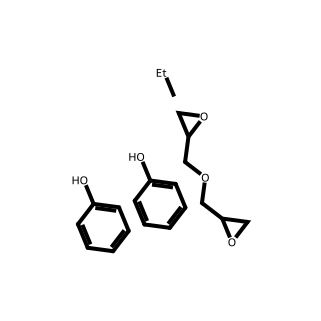 C(OCC1CO1)C1CO1.CCC.Oc1ccccc1.Oc1ccccc1